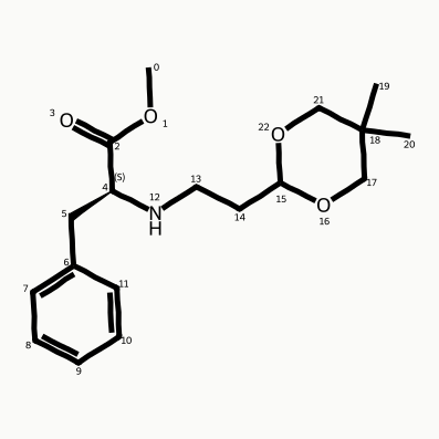 COC(=O)[C@H](Cc1ccccc1)NCCC1OCC(C)(C)CO1